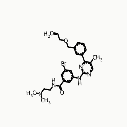 C=CCOCc1cccc(-c2nc(Nc3cc(Br)cc(C(=O)NCCN(C)C)c3)ncc2C)c1